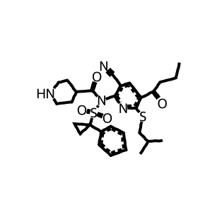 CCCC(=O)c1cc(C#N)c(N(C(=O)C2CCNCC2)S(=O)(=O)C2(c3ccccc3)CC2)nc1SCC(C)C